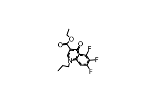 CCCn1cc(C(=O)OCC)c(=O)c2c(F)c(F)c(F)cc21